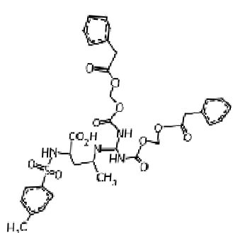 Cc1ccc(S(=O)(=O)NC(CC(C)N=C(NC(=O)OCOC(=O)Cc2ccccc2)NC(=O)OCOC(=O)Cc2ccccc2)C(=O)O)cc1